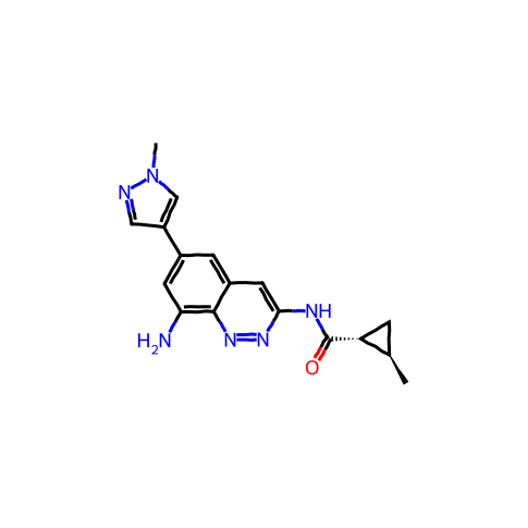 C[C@@H]1C[C@H]1C(=O)Nc1cc2cc(-c3cnn(C)c3)cc(N)c2nn1